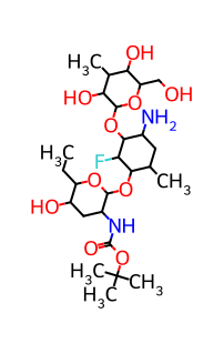 CCC1OC(OC2C(C)CC(N)C(OC3OC(CO)C(O)C(C)C3O)C2F)C(NC(=O)OC(C)(C)C)CC1O